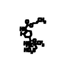 C=CCOC(=O)Nc1ccc(C(O)OC(CS(=O)(=O)O)(C(F)(F)F)C(F)(F)F)cc1I